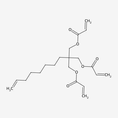 C=CCCCCCCC(COC(=O)C=C)(COC(=O)C=C)COC(=O)C=C